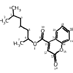 CC(C)CCCC(C)OC(=O)c1cc(=O)oc2ccccc12